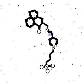 O=C1C(C/N=C/c2cc[n+](CCCCS(=O)(=O)[O-])cc2)=Cc2cccc3cccc1c23